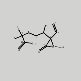 C=CC1(C(C)CCC(C)(I)C(=C)I)C(=C)[C@H]1C